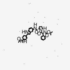 CC(=O)Nc1ccc(-c2cc3cc(NC(=O)[C@@H]4CCCN4C(=O)[C@H](NC(=O)OC(C)C)c4ccccc4)ccc3[nH]2)cc1